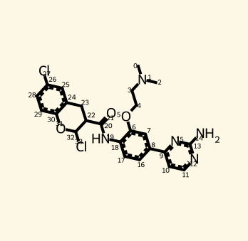 CN(C)CCOc1cc(-c2ccnc(N)n2)ccc1NC(=O)C1Cc2cc(Cl)ccc2OC1Cl